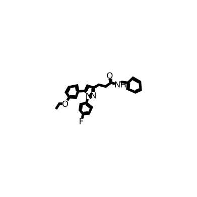 CCOc1cccc(-c2cc(CCC(=O)NCc3ccccc3)nn2-c2ccc(F)cc2)c1